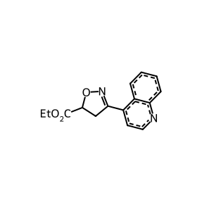 CCOC(=O)C1CC(c2ccnc3ccccc23)=NO1